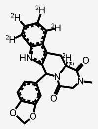 [2H]c1c([2H])c([2H])c2c3c([nH]c2c1[2H])C(c1ccc2c(c1)OCO2)N1C(=O)CN(C)C(=O)[C@@]1([2H])C3